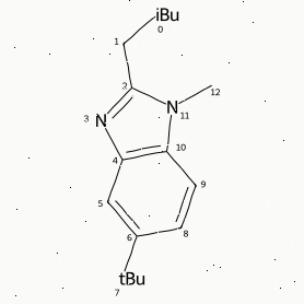 CCC(C)Cc1nc2cc(C(C)(C)C)ccc2n1C